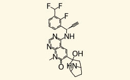 C#C[C@@H](Nc1ncnc2c1cc(C1(O)CC3CCC(C1)N3)c(=O)n2C)c1cccc(C(F)F)c1F